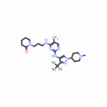 [2H]C([2H])([2H])c1nn(C2CCN(C)CC2)cc1Nc1ncc(C(F)(F)F)c(NCCCN2CCCCC2=O)n1